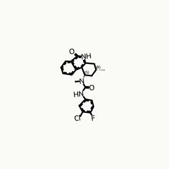 C[C@H]1Cc2[nH]c(=O)c3ccccc3c2[C@@H](N(C)C(=O)Nc2ccc(F)c(Cl)c2)C1